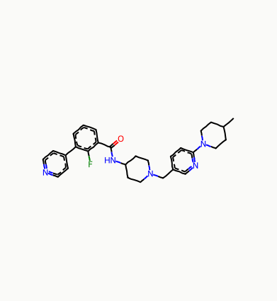 CC1CCN(c2ccc(CN3CCC(NC(=O)c4cccc(-c5ccncc5)c4F)CC3)cn2)CC1